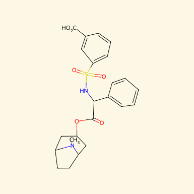 CN1C2CCC1CC(OC(=O)C(NS(=O)(=O)c1cccc(C(=O)O)c1)c1ccccc1)C2